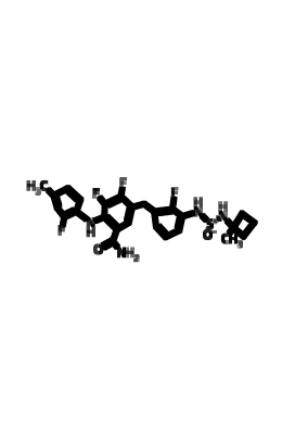 Cc1ccc(Nc2c(C(N)=O)cc(Cc3cccc(N[S+]([O-])NC4(C)CCC4)c3F)c(F)c2F)c(F)c1